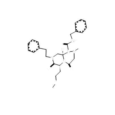 CSCC[C@H]1C(=O)N(CCc2ccccc2)C[C@H]2N1C(=O)CN(C)N2C(=O)NCc1ccccc1